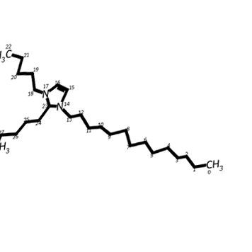 CCCCCCCCCCCCCCN1C=CN(CCCCC)C1CCCCC